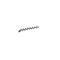 CC(=O)CCCCCCCCCCCCCC=[N+]=[N-]